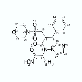 CC(C(N)=O)N(C(=O)C(Cc1ccccc1)CS(=O)(=O)N1CCOCC1)n1ccnc1